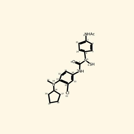 CC(=O)Nc1ccc(N(S)C(=O)Nc2ccc(N(C)C3CCCC3)c(Cl)c2)cc1